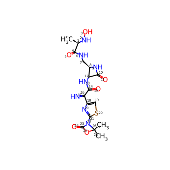 C[C@@H](NO)C(=O)NC[C@H]1NC(=O)[C@H]1NC(=O)C(=N)c1csc(N2C(=O)OC2(C)C)n1